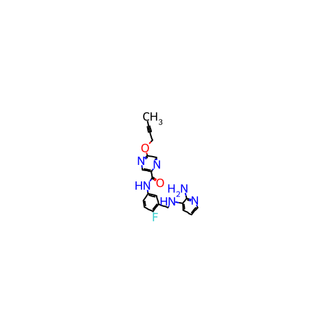 CC#CCOc1cnc(C(=O)Nc2ccc(F)c(CNc3cccnc3N)c2)cn1